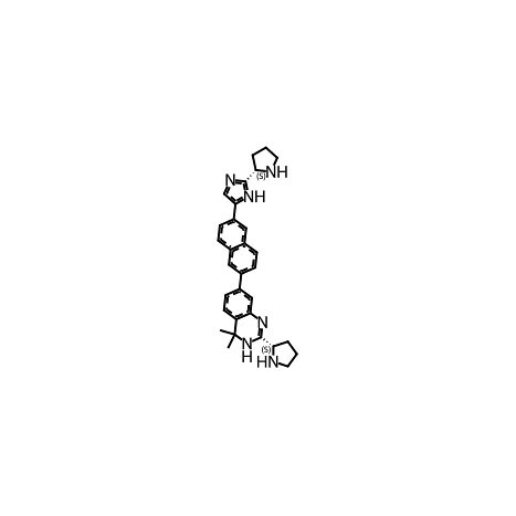 CC1(C)NC([C@@H]2CCCN2)=Nc2cc(-c3ccc4cc(-c5cnc([C@@H]6CCCN6)[nH]5)ccc4c3)ccc21